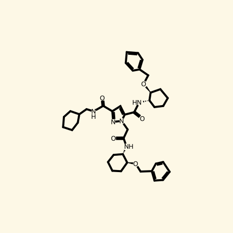 O=C(Cn1nc(C(=O)NCC2CCCCC2)cc1C(=O)N[C@H]1CCCC[C@@H]1OCc1ccccc1)N[C@H]1CCCC[C@@H]1OCc1ccccc1